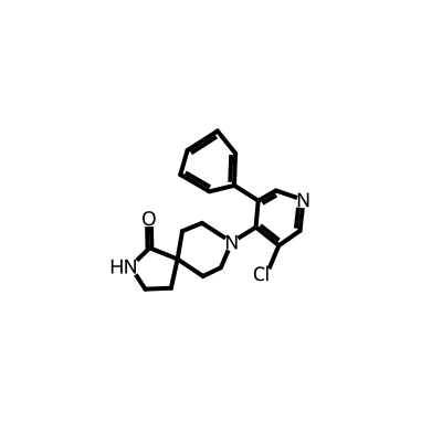 O=C1NCCC12CCN(c1c(Cl)cncc1-c1ccccc1)CC2